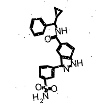 NS(=O)(=O)c1cccc(-c2n[nH]c3ccc(C(=O)NC(c4ccccc4)C4CC4)cc23)c1